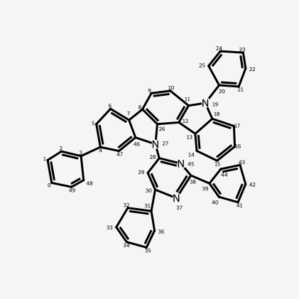 c1ccc(-c2ccc3c4ccc5c(c6ccccc6n5-c5ccccc5)c4n(-c4cc(-c5ccccc5)nc(-c5ccccc5)n4)c3c2)cc1